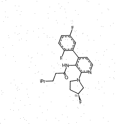 CC(C)CCC(=O)Nc1c(-c2cc(F)ccc2F)ccnc1N1CC[C@H](F)C1